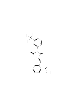 O=C(O)c1ccccc1C=C1SC(=S)N(c2cccc(C(F)(F)F)c2)C1=O